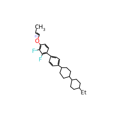 C/C=C/Oc1ccc(-c2ccc(C3CCC(C4CCC(CC)CC4)CC3)cc2)c(F)c1F